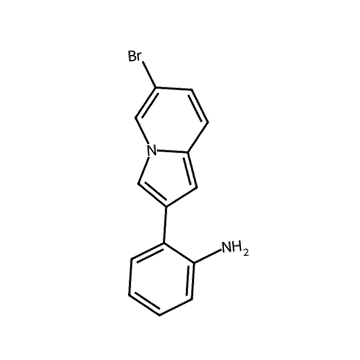 Nc1ccccc1-c1cc2ccc(Br)cn2c1